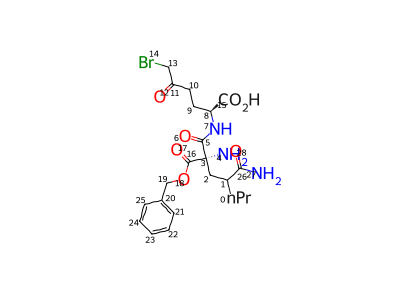 CCCC(C[C@](N)(C(=O)N[C@@H](CCC(=O)CBr)C(=O)O)C(=O)OCc1ccccc1)C(N)=O